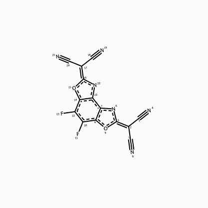 N#CC(C#N)=c1nc2c(o1)c(F)c(F)c1oc(=C(C#N)C#N)nc12